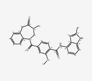 COc1cc(C(=O)N2CN(C)C(=O)Cc3ccccc32)ccc1C(=O)Nc1cccc2[nH]c(C)nc12